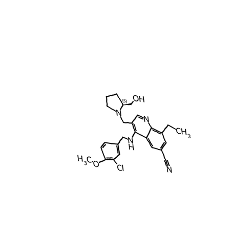 CCc1cc(C#N)cc2c(NCc3ccc(OC)c(Cl)c3)c(CN3CCC[C@H]3CO)cnc12